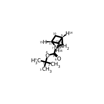 CC(C)(C)OC(=O)N1C[C@H]2C[C@@H]1[C@H]2N